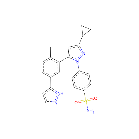 Cc1ccc(-c2ccn[nH]2)cc1-c1cc(C2CC2)nn1-c1ccc(S(N)(=O)=O)cc1